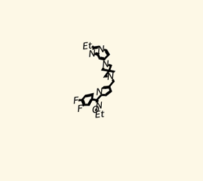 CCO/N=C(\c1ccc(F)c(F)c1)c1ccc(CN2CC3(C2)CN(c2ccn4cc(CC)nc4c2)C3)cn1